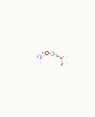 C=C/C(=C\C=C(/C)CN1CCC(c2ccc3c(c2)CN(C2CCC(=O)NC2=O)C3=O)CC1)OCC1(C#N)CC1